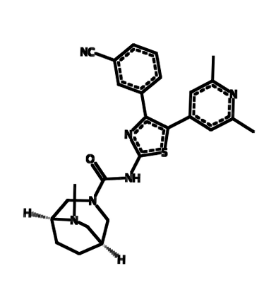 Cc1cc(-c2sc(NC(=O)N3C[C@H]4CC[C@@H](C3)N(C)C4)nc2-c2cccc(C#N)c2)cc(C)n1